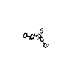 C1=C(c2cnc3c(N4CCOCC4)nc(-n4ccc(-c5ccccc5)n4)nc3c2)COCC1